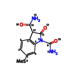 CSc1ccc2c(c1)N(C(N)=O)C(=O)C2C(N)=O